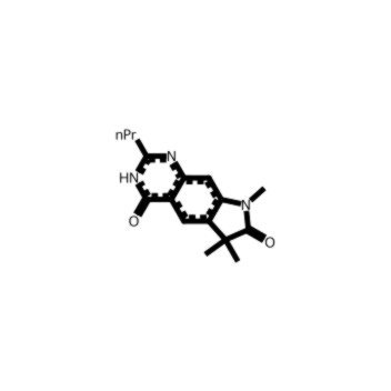 CCCc1nc2cc3c(cc2c(=O)[nH]1)C(C)(C)C(=O)N3C